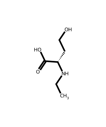 CCN[C@@H](CCO)C(=O)O